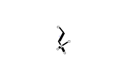 O=S(=O)(Cl)/C=C/Cl